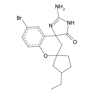 CCC1CCC2(C1)CC1(N=C(N)NC1=O)c1cc(Br)ccc1O2